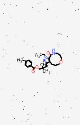 CCn1nc(CC(C)(C)COC(=O)c2ccc(C)cc2)c2c1C(=O)NCCCOCCC2